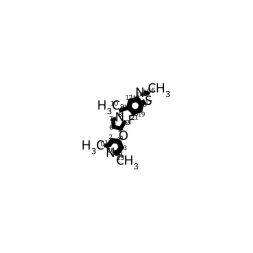 Cc1cc(OC2CCN(C(C)c3cc4nc(C)sc4cc3F)C2)cc(C)n1